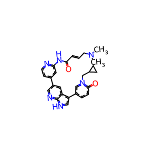 CN(C)CC=CC(=O)Nc1cc(-c2cnc3[nH]cc(-c4ccc(=O)n(CC5CC5)c4)c3c2)ccn1